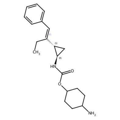 CC/C(=C\c1ccccc1)[C@@H]1C[C@H]1NC(=O)OC1CCC(N)CC1